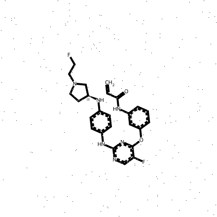 C=CC(=O)Nc1cccc(Oc2nc(Nc3ccc(N[C@H]4CCN(CCF)C4)cc3)ncc2F)c1